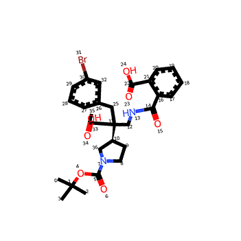 CC(C)(C)OC(=O)N1CC[C@H](C(CNC(=O)c2ccccc2C(=O)O)(Cc2cccc(Br)c2)C(=O)O)C1